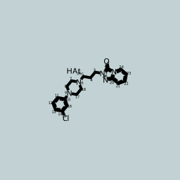 O=c1n(CCCN2CCN(c3cccc(Cl)c3)CC2)nc2ccccn12.[AtH]